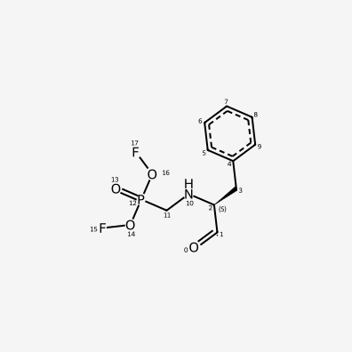 O=[C][C@H](Cc1ccccc1)NCP(=O)(OF)OF